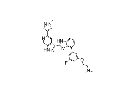 CN(C)CCOc1cc(F)cc(-c2cccc3[nH]c(-c4n[nH]c5cnc(-c6cnn(C)c6)cc45)nc23)c1